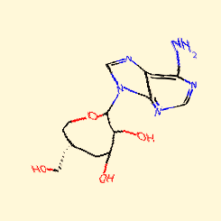 Nc1ncnc2c1ncn2C1OC[C@@H](CO)C(O)C1O